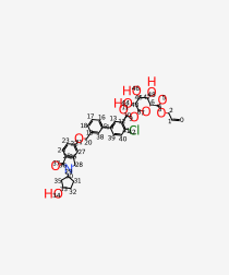 C=CCOC(=O)[C@H]1OC(OC(=O)c2cc(-c3cccc(COc4ccc5c(c4)CN(C4CCC(O)C4)C5=O)c3)ccc2Cl)[C@H](O)[C@@H](O)[C@@H]1O